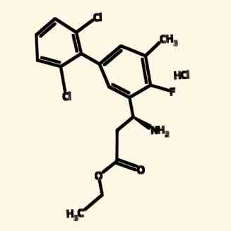 CCOC(=O)C[C@H](N)c1cc(-c2c(Cl)cccc2Cl)cc(C)c1F.Cl